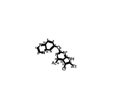 CCc1[nH]c2nc(Oc3ccc4nccnc4c3)nc(C(C)=O)c2c1Cl